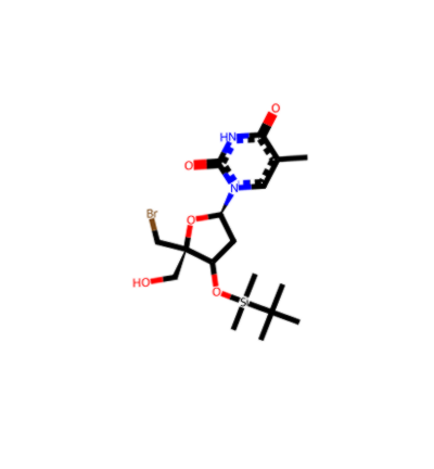 Cc1cn([C@H]2CC(O[Si](C)(C)C(C)(C)C)[C@](CO)(CBr)O2)c(=O)[nH]c1=O